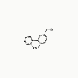 CCOc1ccc(F)c(-c2ccccc2C#N)c1